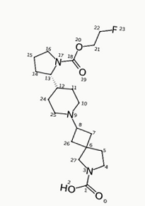 O=C(O)N1CCC2(CC(N3CCC([C@@H]4CCCN4C(=O)OCCF)CC3)C2)C1